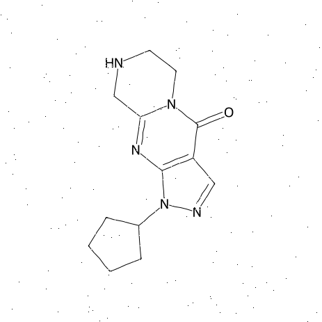 O=c1c2cnn(C3CCCC3)c2nc2n1CCNC2